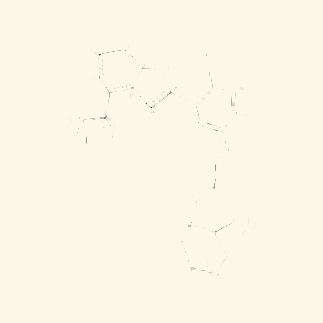 CNC(=O)c1cccc2sc(-c3nc(NCCCN4CCNCC4C)ncc3C)cc12